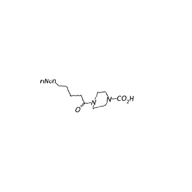 CCCCCCCCCCCCCC(=O)N1CCN(C(=O)O)CC1